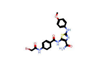 COc1ccc(Nc2nc(C(N)=O)c(NC(=O)C3=CC=C(NC(=O)CBr)CC3)s2)cc1